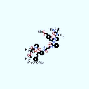 C=CC(=O)OCC(C)(C)C(=O)C(=O)N1CCCC[C@H]1C(=O)O[C@H](CCc1ccc(OC)c(OC)c1)c1cccc(NC(=O)CCC(=O)NC(C(=O)N[C@@H](Cc2ccc(CC(=O)OC(C)(C)C)cc2)C(=O)N2CCC[C@@H]2C(=O)N(C)[C@@H](CC(C)C)C(=O)N(C)CC)c2ccccc2)c1